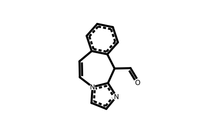 O=CC1c2ccccc2C=Cn2ccnc21